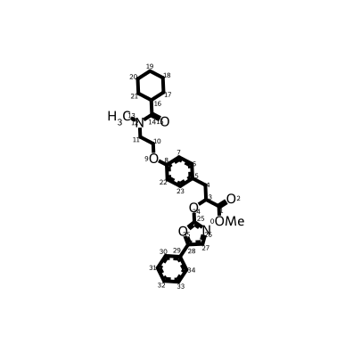 COC(=O)C(Cc1ccc(OCCN(C)C(=O)C2CCCCC2)cc1)Oc1ncc(-c2ccccc2)o1